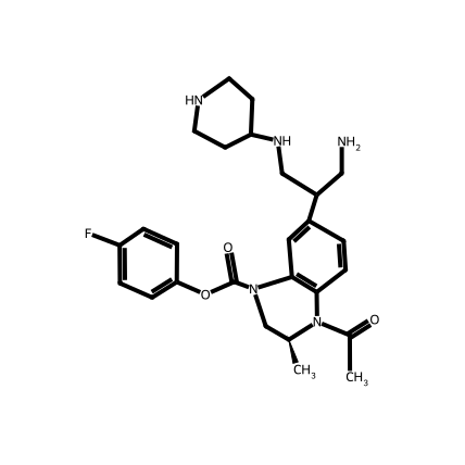 CC(=O)N1c2ccc(C(CN)CNC3CCNCC3)cc2N(C(=O)Oc2ccc(F)cc2)C[C@@H]1C